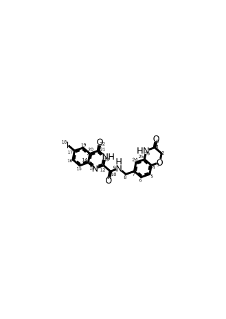 O=C1COc2ccc(CNC(=O)c3nc4ccc(I)cc4c(=O)[nH]3)cc2N1